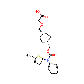 CC1=CCC(N(C(=O)OC[C@H]2CC[C@H](COCC(=O)O)CC2)c2ccccc2)S1